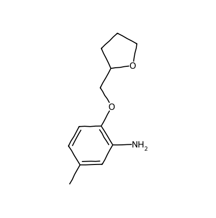 Cc1ccc(OCC2CCCO2)c(N)c1